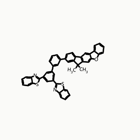 CC1(C)c2cc(-c3cccc(-c4cc(-c5nc6ccccc6s5)cc(-c5nc6ccccc6s5)c4)c3)ccc2-c2cc3c(cc21)oc1ccccc13